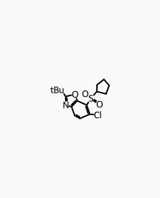 CC(C)(C)c1nc2ccc(Cl)c(S(=O)(=O)C3CCCC3)c2o1